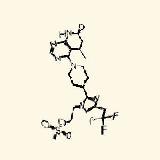 CC1CC(=O)Nc2ncnc(N3CCC(c4nc(CC(F)(F)F)cn4CCOS(C)(=O)=O)CC3)c21